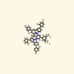 Cc1ccc(-c2ccc3c(c2)c2cc(-c4ccccc4C)ccc2n3-c2cc(-c3cc(C(F)(F)F)cc(C(F)(F)F)c3)cc(-n3c4ccc(-c5ccc(C)cc5C)cc4c4cc(-c5ccc(C)cc5C)ccc43)c2C#N)c(C)c1